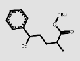 CCCCOC(=O)C(C)CCC(CC)c1ccccc1